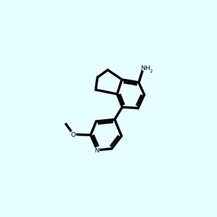 COc1cc(-c2ccc(N)c3c2CCC3)ccn1